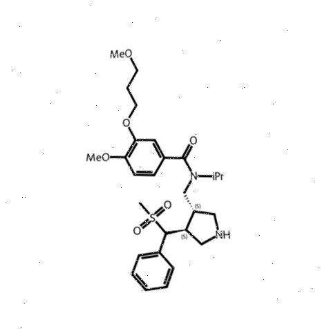 COCCCOc1cc(C(=O)N(C[C@@H]2CNC[C@H]2C(c2ccccc2)S(C)(=O)=O)C(C)C)ccc1OC